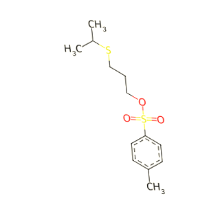 Cc1ccc(S(=O)(=O)OCCCSC(C)C)cc1